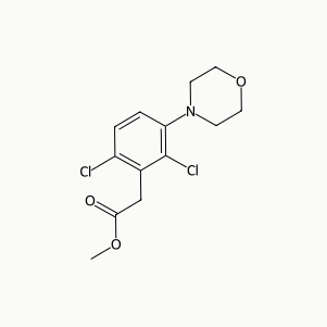 COC(=O)Cc1c(Cl)ccc(N2CCOCC2)c1Cl